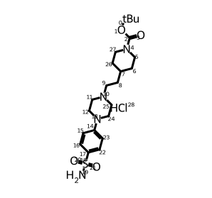 CC(C)(C)OC(=O)N1CCC(CCN2CCN(c3ccc(S(N)(=O)=O)cc3)CC2)CC1.Cl